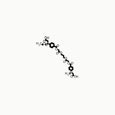 C=COON(CC(=O)O)c1ccc(C(=O)OCC(=O)OCCCOC(=O)COC(=O)c2ccc(N(C)CC(=O)O)cc2)cc1